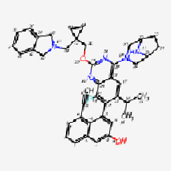 C#Cc1cccc2cc(O)cc(-c3c(C(C)C)cc4c(N5CC6CCC(C5)N6)nc(OCC5(CN6Cc7ccccc7C6)CC5)nc4c3F)c12